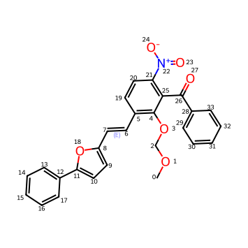 COCOc1c(/C=C/c2ccc(-c3ccccc3)o2)ccc([N+](=O)[O-])c1C(=O)c1ccccc1